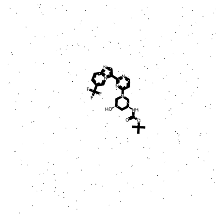 CC(C)(C)OC(=O)N[C@H]1C[C@H](O)CN(c2ccnc(-c3cnc4ccc(C(F)(F)F)cn34)n2)C1